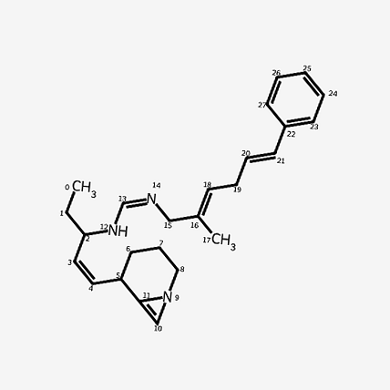 CCC(/C=C\C1CCCN2C=C12)N/C=N\C/C(C)=C/C/C=C/c1ccccc1